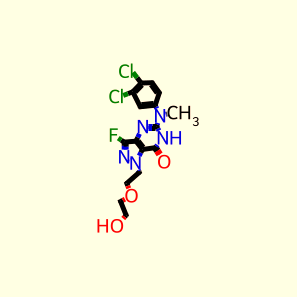 CN(c1ccc(Cl)c(Cl)c1)c1nc2c(F)nn(CCOCCO)c2c(=O)[nH]1